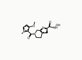 COc1ccn(C)c1C(=O)N1CCc2cc(C(=O)NO)sc2C1